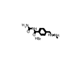 Br.CNNCc1ccc(C(=O)NC(N)=O)cc1